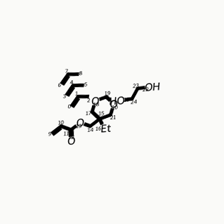 C=CC.C=CC.C=CC.C=CC(=O)OCC1(CC)COCOC1.OCCO